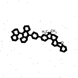 CC1(C)c2cc(-c3ccc(-c4c5ccccc5c(-c5cccc6ccccc56)c5ccccc45)cc3)ccc2-c2c1ccc1c2ccc2c3ccccc3oc12